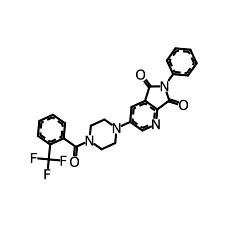 O=C(c1ccccc1C(F)(F)F)N1CCN(c2cnc3c(c2)C(=O)N(c2ccccc2)C3=O)CC1